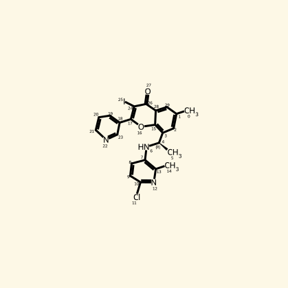 Cc1cc([C@@H](C)Nc2ccc(Cl)nc2C)c2oc(-c3cccnc3)c(I)c(=O)c2c1